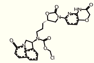 O=C1COc2ccc(N3C[C@H](CCCN(C(=O)OCCl)[C@@H]4Cn5c(=O)ccc6cccc4c65)OC3=O)nc2N1